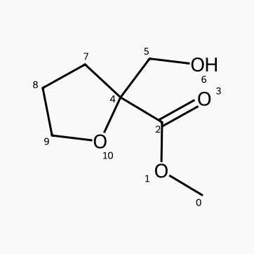 COC(=O)C1(CO)CCCO1